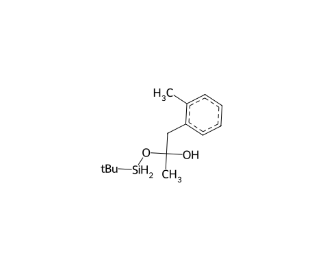 Cc1ccccc1CC(C)(O)O[SiH2]C(C)(C)C